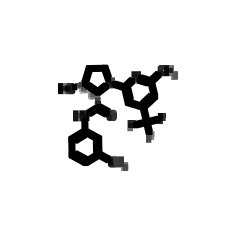 Cc1cccc(NC(=O)[C@@H]2[C@H](O)CCN2c2cc(C(F)(F)F)cc(C)n2)c1